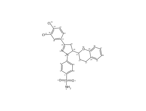 NS(=O)(=O)c1ccc(N2N=C(c3ccc(Cl)c(Cl)c3)CC2C2CCc3ccccc3O2)cc1